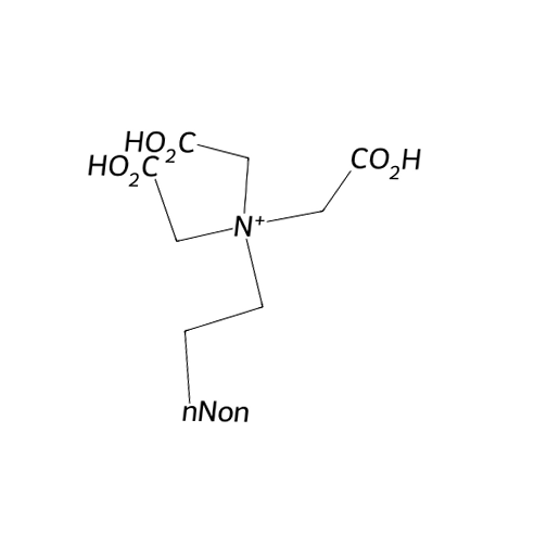 CCCCCCCCCCC[N+](CC(=O)O)(CC(=O)O)CC(=O)O